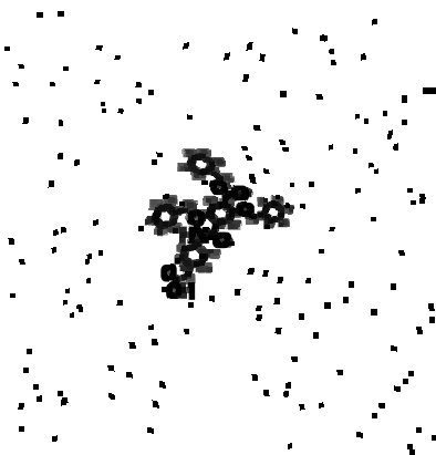 O=C(O)Cc1ccc(NC(=O)c2cc(OCc3ccccc3)c(C(=O)OCc3ccccc3)cc2OCc2ccccc2)cc1